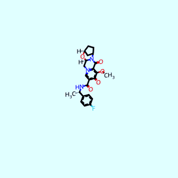 COc1c2n(cc(C(=O)N[C@@H](C)c3ccc(F)cc3)c1=O)C[C@H]1O[C@H]3CCC(C3)N1C2=O